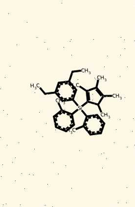 CCc1cc(CC)cc([Si](C2=C(C)C(C)=C(C)C2C)(c2ccccc2C)c2ccccc2C)c1